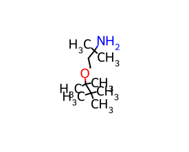 CC(C)(N)CCOC(C)(C)C(C)(C)C